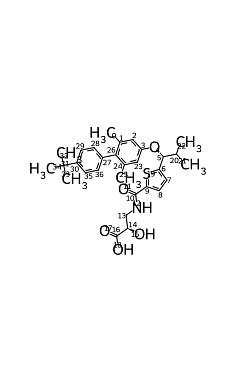 Cc1cc(OC(c2ccc(C(=O)NC[C@@H](O)C(=O)O)s2)C(C)C)cc(C)c1-c1ccc(C(C)(C)C)cc1